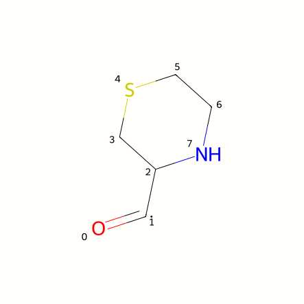 O=[C]C1CSCCN1